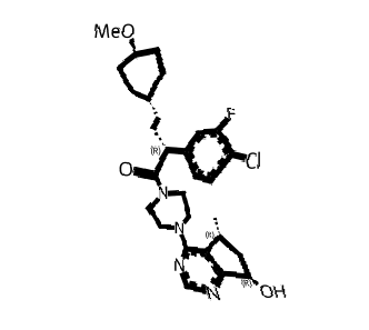 CO[C@H]1CC[C@H](CC[C@@H](C(=O)N2CCN(c3ncnc4c3[C@H](C)C[C@H]4O)CC2)c2ccc(Cl)c(F)c2)CC1